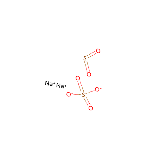 O=S(=O)([O-])[O-].O=S=O.[Na+].[Na+]